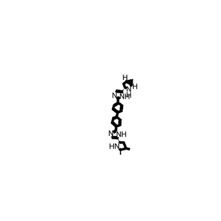 CC1C[C@@H](c2cnc(-c3ccc(-c4ccc(-c5ncc([C@@H]6C[C@H]7C[C@H]7N6)[nH]5)cc4)cc3)[nH]2)N[C@@H]1C